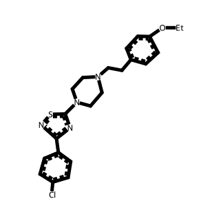 CCOc1ccc(CCN2CCN(c3nc(-c4ccc(Cl)cc4)ns3)CC2)cc1